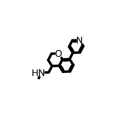 CNCC1CCOc2c(-c3ccncc3)cccc21